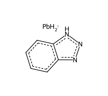 [PbH2].c1ccc2[nH]nnc2c1